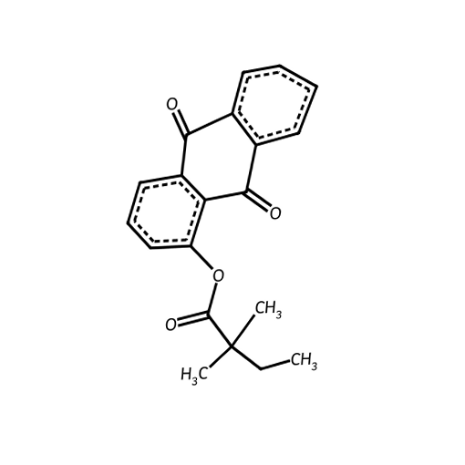 CCC(C)(C)C(=O)Oc1cccc2c1C(=O)c1ccccc1C2=O